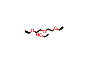 C=COCCOCCOC=C.CCO